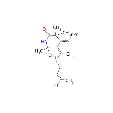 CCC/C=C1/C(=C(\C)CC/C=C(\C)Cl)C(C)(C)NC(=O)C1(C)C